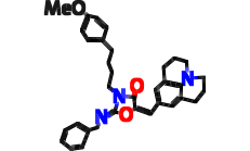 COc1ccc(CCCCN2C(=O)/C(=C\c3cc4c5c(c3)CCCN5CCC4)OC2=NCc2ccccc2)cc1